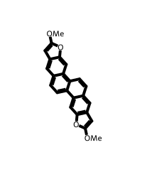 COc1cc2cc3ccc4c5cc6oc(OC)cc6cc5ccc4c3cc2o1